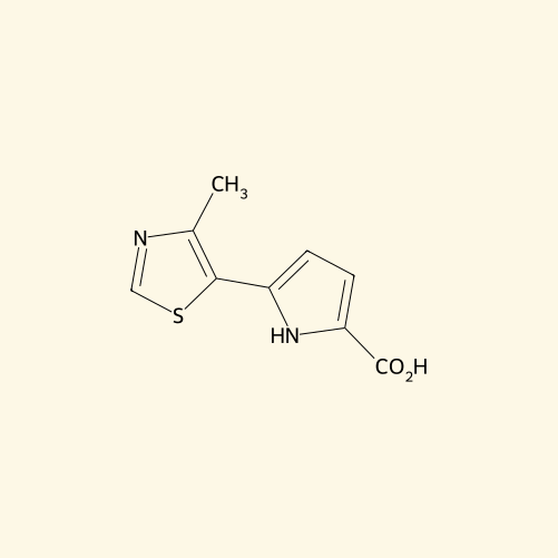 Cc1ncsc1-c1ccc(C(=O)O)[nH]1